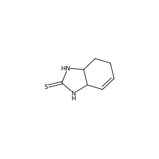 S=C1NC2C=CCCC2N1